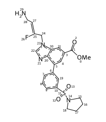 COC(=O)c1cc(-c2cccc(S(=O)(=O)N3CCCC3)c2)c2ncn(CC(F)=CCN)c2c1